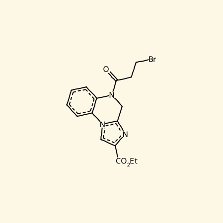 CCOC(=O)c1cn2c(n1)CN(C(=O)CCBr)c1ccccc1-2